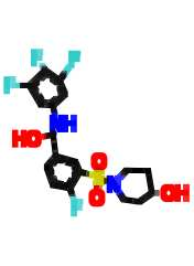 O=S(=O)(c1cc(C(O)Nc2cc(F)c(F)c(F)c2)ccc1F)N1CCC(O)CC1